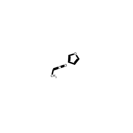 CC=C=O.c1ccoc1